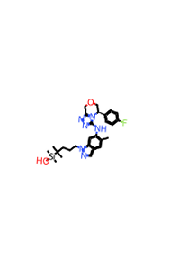 Cc1cc2cnn(CCCC(C)(C)[Si](C)(C)O)c2cc1Nc1nnc2n1[C@H](c1ccc(F)cc1)COC2